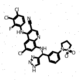 N#Cc1cnc2c(N[C@@H](c3cccc(N4CCCS4(=O)=O)c3)c3c[nH]nn3)cc(Cl)cc2c1Nc1ccc(Cl)c(Cl)c1F